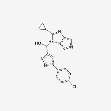 OC(c1cn(-c2ccc(Cl)cc2)nn1)[SH]1C(C2CC2)=Nc2cncn21